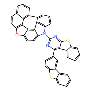 c1cc2c3c(c1)ccc1oc4ccc5c(c6c-2cccc6n5-c2nc(-c5ccc6sc7ccccc7c6c5)c5c(n2)sc2ccccc25)c4c13